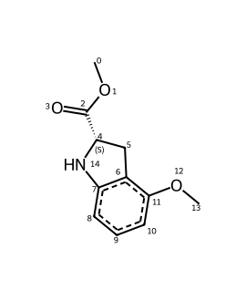 COC(=O)[C@@H]1Cc2c(cccc2OC)N1